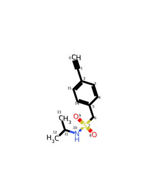 C#Cc1ccc(CS(=O)(=O)NC(C)C)cc1